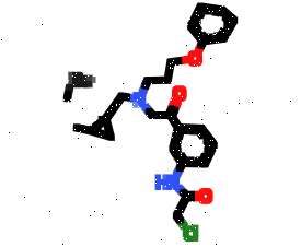 CC1C[C]1CN(CCCOc1ccccc1)CC(=O)c1cccc(NC(=O)CCl)c1.CC[C](C)C